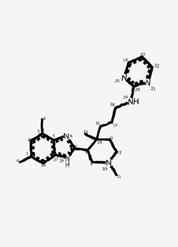 Cc1cc(C)c2nc(C3CN(C)CCC3(C)CCCNc3ncccn3)[nH]c2c1